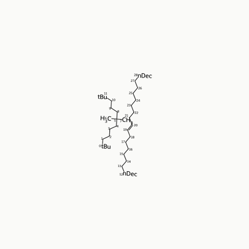 CC(C)(C)CCCCC(C)(C)CCCC(C)(C)C.CCCCCCCCCCCCCCCCC=CCCCCCCCCCCCCCCCCC